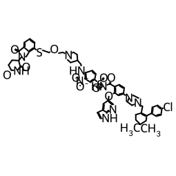 CC1(C)CCC(CN2CCN(c3ccc(C(=O)NS(=O)(=O)c4ccc(NCC5CCN(CCOCCSc6cccc7c6CN(C6CCC(=O)NC6=O)C7=O)CC5)c([N+](=O)[O-])c4)c(Oc4cnc5[nH]ccc5c4)c3)CC2)=C(c2ccc(Cl)cc2)C1